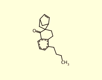 CCCCc1cccc2c1CCC1(CC3C=CC1C3)C2=O